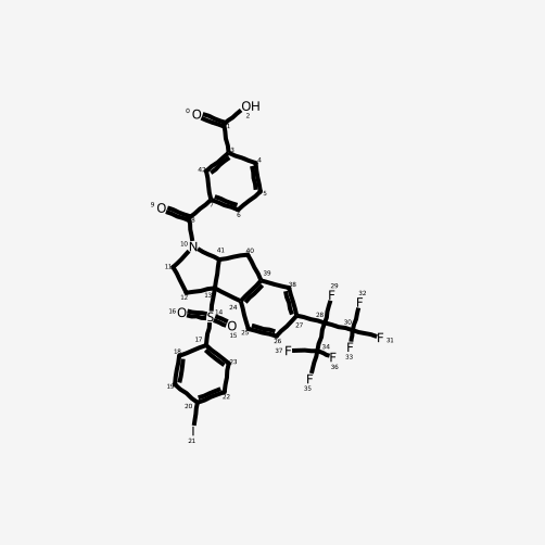 O=C(O)c1cccc(C(=O)N2CCC3(S(=O)(=O)c4ccc(I)cc4)c4ccc(C(F)(C(F)(F)F)C(F)(F)F)cc4CC23)c1